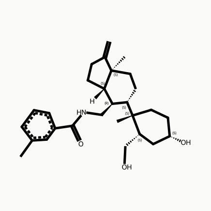 C=C1CC[C@H]2[C@H](CNC(=O)c3cccc(C)c3)[C@@H]([C@]3(C)CC[C@H](O)C[C@@H]3CO)CC[C@]12C